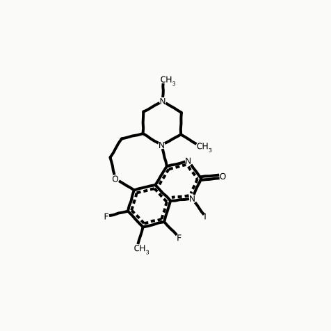 Cc1c(F)c2c3c(nc(=O)n(I)c3c1F)N1C(C)CN(C)CC1CCO2